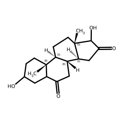 C[C@]12CCC(O)CC1C(=O)C[C@@H]1[C@@H]2CC[C@]2(C)C(O)C(=O)C[C@@H]12